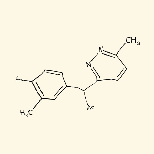 CC(=O)C(c1ccc(F)c(C)c1)c1ccc(C)nn1